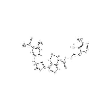 Cc1cccc(OCCCC(=O)N2CCCc3c(-c4cnn(Cc5ccc(N)c(C(=O)O)c5)c4)cccc32)c1C